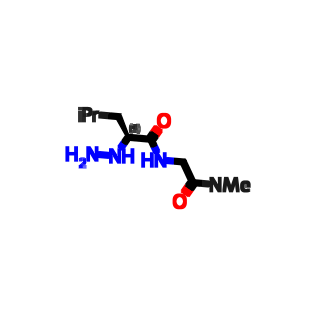 CNC(=O)CNC(=O)[C@H](CC(C)C)NN